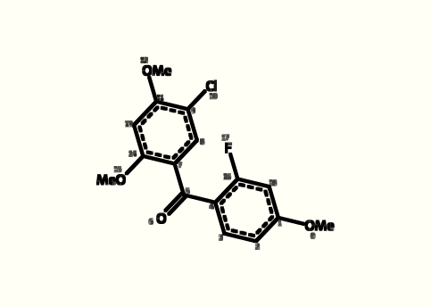 COc1ccc(C(=O)c2cc(Cl)c(OC)cc2OC)c(F)c1